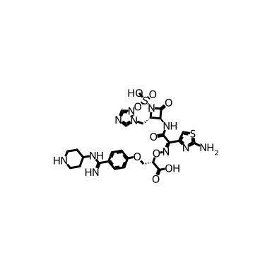 N=C(NC1CCNCC1)c1ccc(OC[C@H](ON=C(C(=O)N[C@@H]2C(=O)N(S(=O)(=O)O)[C@H]2Cn2cncn2)c2csc(N)n2)C(=O)O)cc1